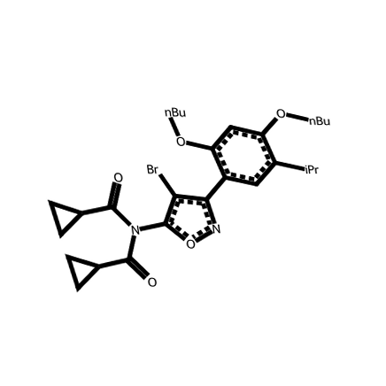 CCCCOc1cc(OCCCC)c(C(C)C)cc1-c1noc(N(C(=O)C2CC2)C(=O)C2CC2)c1Br